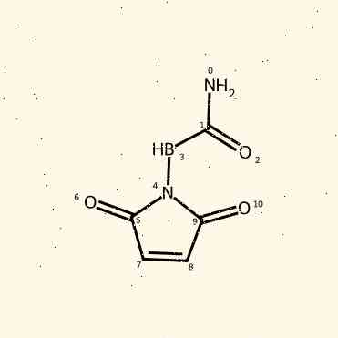 NC(=O)BN1C(=O)C=CC1=O